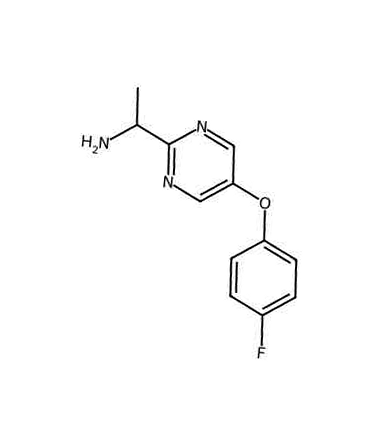 CC(N)c1ncc(Oc2ccc(F)cc2)cn1